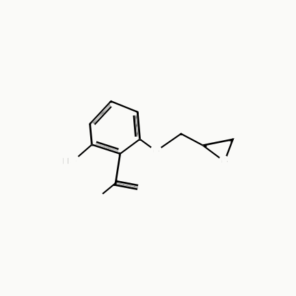 CC(=O)c1c(O)cccc1OCC1CO1